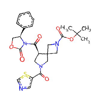 CC(C)(C)OC(=O)N1CC2(C1)CN(C(=O)c1cncs1)C[C@H]2C(=O)N1C(=O)OC[C@H]1c1ccccc1